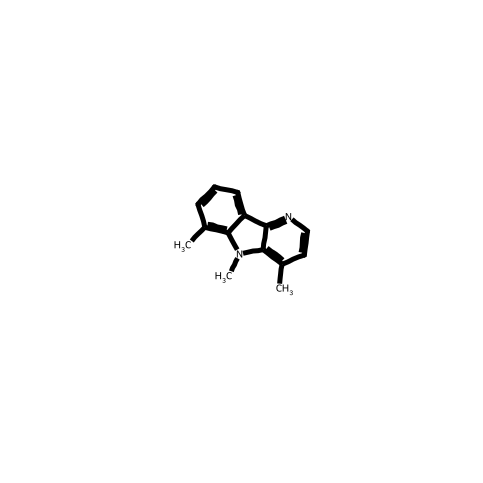 Cc1cccc2c3nccc(C)c3n(C)c12